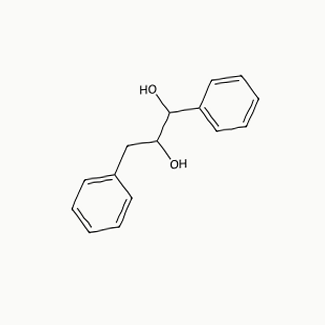 OC(Cc1ccccc1)C(O)c1ccccc1